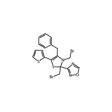 BrCN1C(Cc2ccccc2)=C(c2cccs2)SC1(CBr)c1ncon1